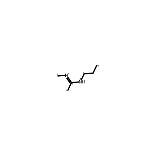 CCCNC(C)=NC